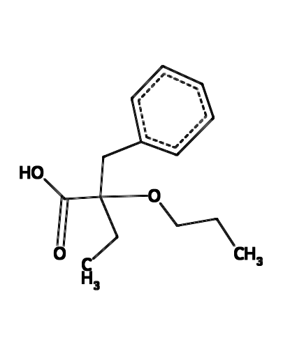 CCCOC(CC)(Cc1ccccc1)C(=O)O